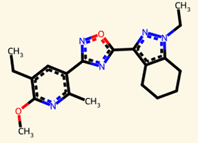 CCc1cc(-c2noc(-c3nn(CC)c4c3CCCC4)n2)c(C)nc1OC